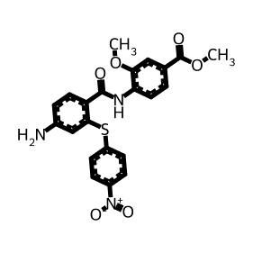 COC(=O)c1ccc(NC(=O)c2ccc(N)cc2Sc2ccc([N+](=O)[O-])cc2)c(OC)c1